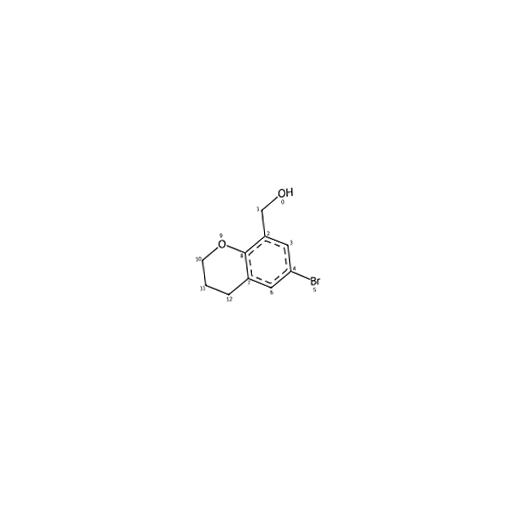 OCc1cc(Br)cc2c1OCCC2